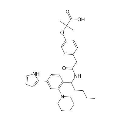 CCCCC(NC(=O)Cc1ccc(OC(C)(C)C(=O)O)cc1)c1ccc(-c2ccc[nH]2)cc1N1CCCCC1